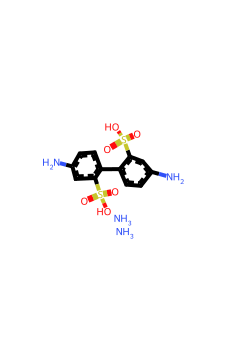 N.N.Nc1ccc(-c2ccc(N)cc2S(=O)(=O)O)c(S(=O)(=O)O)c1